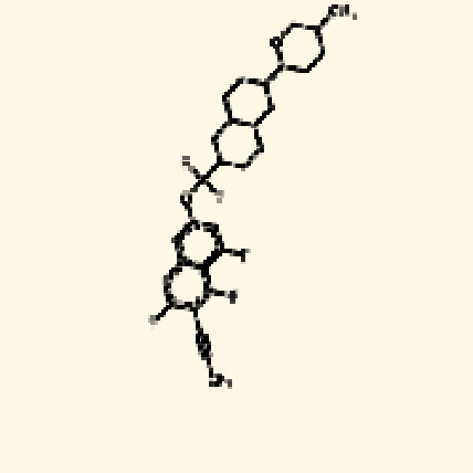 CC1CCC(C2CCC3CC(C(F)(F)Oc4cc(F)c5c(F)c(C#CC(F)(F)F)c(F)cc5c4)CCC3C2)OC1